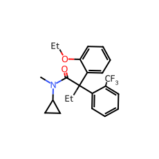 CCOc1ccccc1C(CC)(C(=O)N(C)C1CC1)c1ccccc1C(F)(F)F